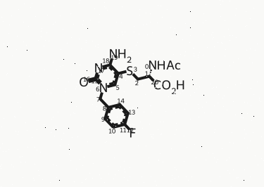 CC(=O)N[C@@H](CSc1cn(Cc2ccc(F)cc2)c(=O)nc1N)C(=O)O